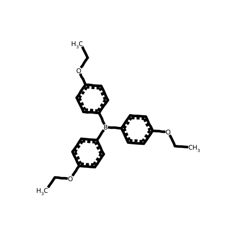 CCOc1ccc(B(c2ccc(OCC)cc2)c2ccc(OCC)cc2)cc1